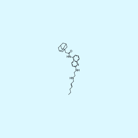 CCCC=CCNCCNc1ccc2c(NC(=O)CC34CC5CC(CC(C5)C3)C4)cccc2n1